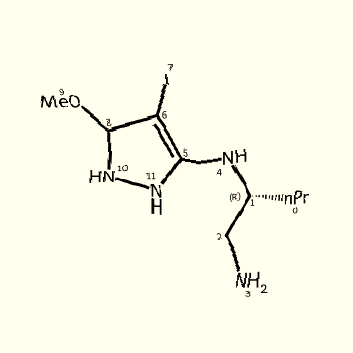 CCC[C@H](CN)NC1=C(I)C(OC)NN1